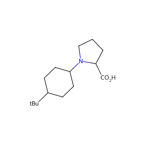 CC(C)(C)C1CCC(N2CCCC2C(=O)O)CC1